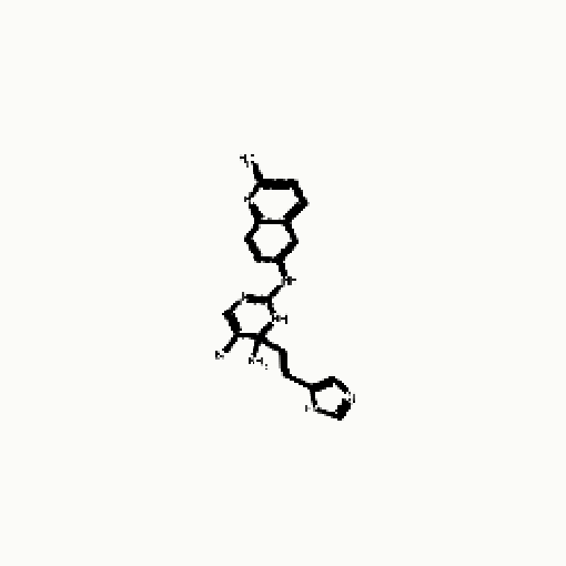 Cc1ccc2cc(NC3=NC=C(Br)C(N)(CCc4cnc[nH]4)N3)ccc2n1